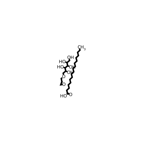 CCCCCCCCCCCCCCCCCC(=O)O.OCC(O)C(O)C(O)C(O)COCC1CO1